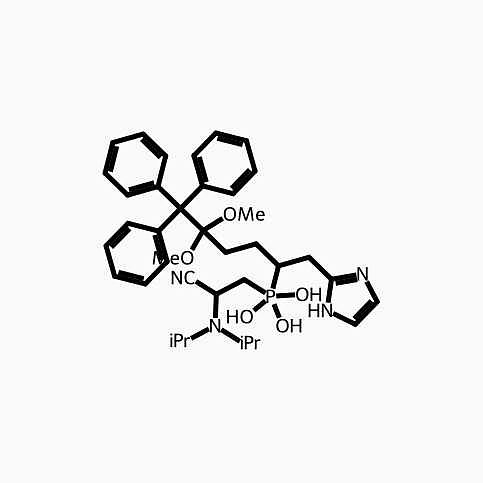 COC(CCC(Cc1ncc[nH]1)P(O)(O)(O)CC(C#N)N(C(C)C)C(C)C)(OC)C(c1ccccc1)(c1ccccc1)c1ccccc1